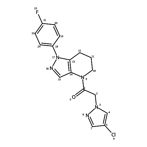 O=C(Cn1cc(Cl)cn1)N1CCCc2c1cnn2-c1ccc(F)cc1